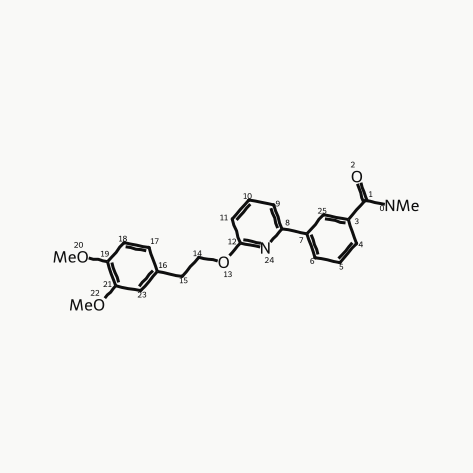 CNC(=O)c1cccc(-c2cccc(OCCc3ccc(OC)c(OC)c3)n2)c1